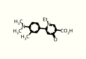 CCn1cc(C(=O)O)c(=O)cc1-c1ccc(N(C)C)c(C)c1